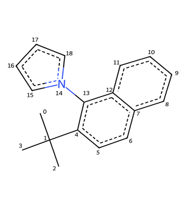 CC(C)(C)c1ccc2ccccc2c1-n1cccc1